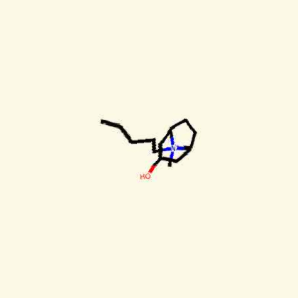 CCCCC[N+]1(C)C2CCC1CC(O)C2